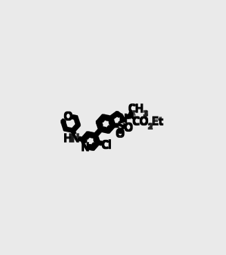 CCOC(=O)[C@@H](C)N1Cc2ccc(-c3cc(NC4CCOCC4)ncc3Cl)cc2S1(=O)=O